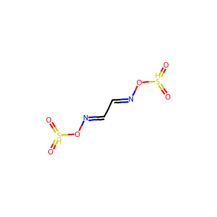 O=[SH](=O)ON=CC=NO[SH](=O)=O